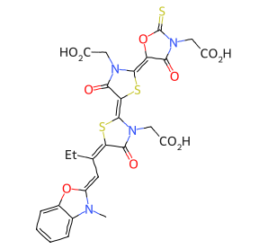 CCC(/C=C1\Oc2ccccc2N1C)=c1\s/c(=c2/s/c(=C3/OC(=S)N(CC(=O)O)C3=O)n(CC(=O)O)c2=O)n(CC(=O)O)c1=O